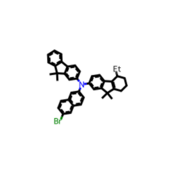 CCC1CCCC2=C1c1ccc(N(c3ccc4c(c3)C(C)(C)c3ccccc3-4)c3ccc4cc(Br)ccc4c3)cc1C2(C)C